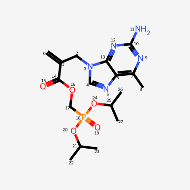 C=C(Cn1cnc2c(C)nc(N)nc21)C(=O)OCP(=O)(OC(C)C)OC(C)C